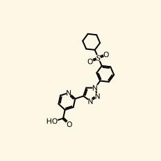 O=C(O)c1ccnc(-c2cn(-c3cccc(S(=O)(=O)C4CCCCC4)c3)nn2)c1